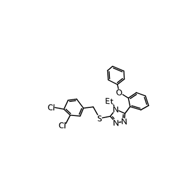 CCn1c(SCc2ccc(Cl)c(Cl)c2)nnc1-c1ccccc1Oc1ccccc1